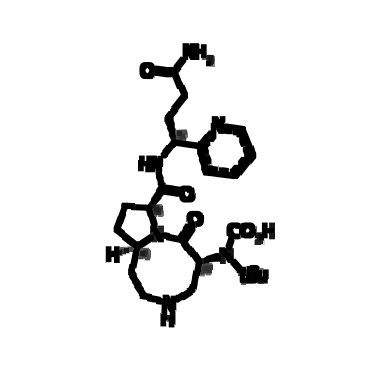 CC(C)(C)N(C(=O)O)[C@H]1CNCC[C@H]2CC[C@@H](C(=O)N[C@@H](CCC(N)=O)c3ccccn3)N2C1=O